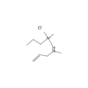 C=CCNC.CCC[N+](C)(C)C.[Cl-]